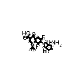 NC[C@@]12CCC[C@@H]1CN(c1c(F)cc3c(=O)c(C(=O)O)cn(C4CC4)c3c1F)C2